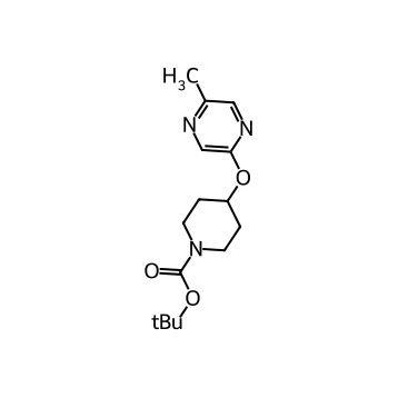 Cc1cnc(OC2CCN(C(=O)OC(C)(C)C)CC2)cn1